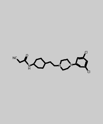 N#CCC(=O)NC1CCC(CCN2CCN(c3cc(Cl)cc(Cl)c3)CC2)CC1